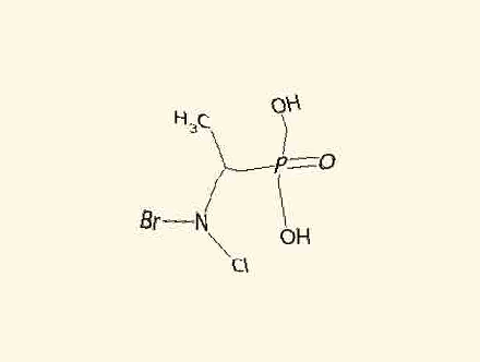 CC(N(Cl)Br)P(=O)(O)O